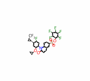 O=c1ccc2cc(S(=O)(=O)Oc3c(F)c(F)c(F)c(F)c3F)ccc2n1-c1cc(F)c([C@H]2C[C@@H]2C(F)(F)F)cc1OC1CC1